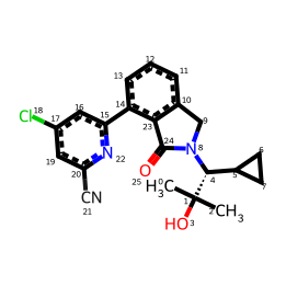 CC(C)(O)[C@@H](C1CC1)N1Cc2cccc(-c3cc(Cl)cc(C#N)n3)c2C1=O